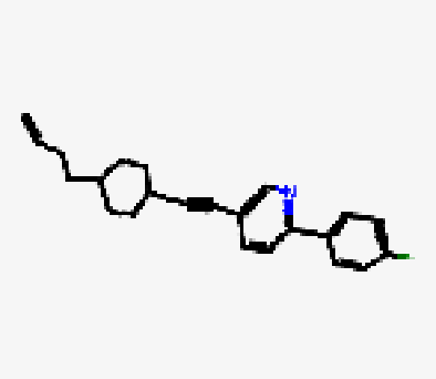 C=CCCC1CCC(C#Cc2ccc(-c3ccc(F)cc3)nc2)CC1